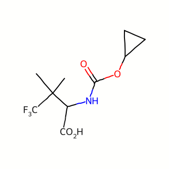 CC(C)(C(NC(=O)OC1CC1)C(=O)O)C(F)(F)F